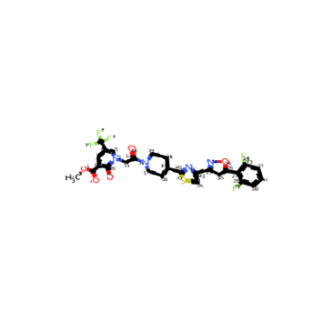 COC(=O)c1cc(C(F)(F)F)cn(CC(=O)N2CCC(c3nc(C4=NOC(c5c(F)cccc5F)C4)cs3)CC2)c1=O